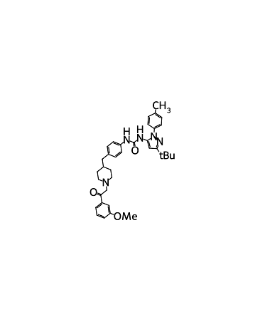 COc1cccc(C(=O)CN2CCC(Cc3ccc(NC(=O)Nc4cc(C(C)(C)C)nn4-c4ccc(C)cc4)cc3)CC2)c1